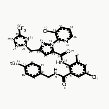 Cc1cc(Cl)cc(C(=O)NCc2ccc(C(C)(C)C)cc2)c1NC(=O)c1cc(Cn2nnc(C(F)(F)F)n2)nn1-c1ncccc1Cl